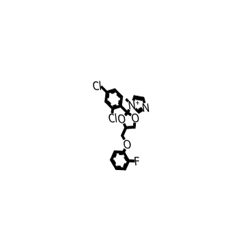 C[N+]1(C2(c3ccc(Cl)cc3Cl)OCC(COc3ccccc3F)O2)C=CN=C1